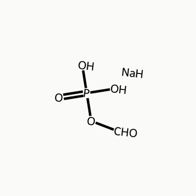 O=COP(=O)(O)O.[NaH]